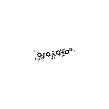 Cc1ccc(C)c(S(=O)(=O)Oc2ccc(NC(=O)Nc3cccc(OS(=O)(=O)c4cc(C)ccc4C)c3)cc2)c1